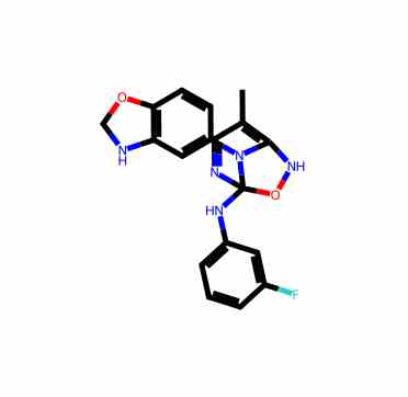 CC1=C2NOC(Nc3cccc(F)c3)(N=C1)N2c1ccc2c(c1)NCO2